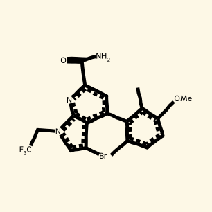 COc1ccc(C)c(-c2cc(C(N)=O)nc3c2c(Br)cn3CC(F)(F)F)c1C